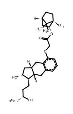 CCCCC[C@@H](O)CC[C@@H]1[C@H]2Cc3cccc(OCC(=O)O[C@@H]4C[C@H]5CC[C@]4(C)C5(C)C)c3C[C@H]2C[C@H]1O